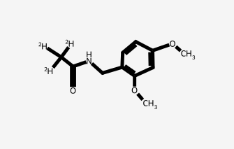 [2H]C([2H])([2H])C(=O)NCc1ccc(OC)cc1OC